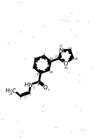 C/C=C\NC(=O)c1cccc(-c2ncco2)c1